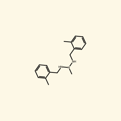 Cc1ccccc1CNN(C)NCc1ccccc1C